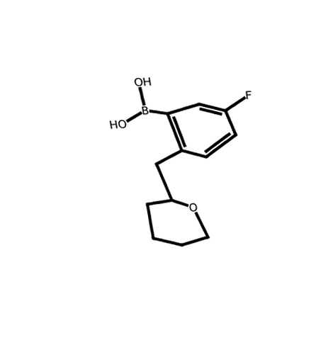 OB(O)c1cc(F)ccc1CC1CCCCO1